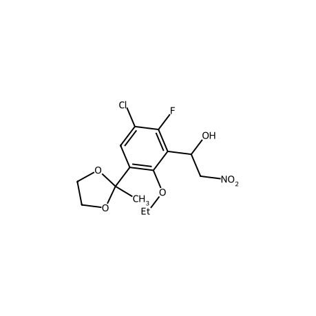 CCOc1c(C2(C)OCCO2)cc(Cl)c(F)c1C(O)C[N+](=O)[O-]